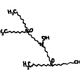 CCCCCCCCCCN(CCCCCCCCCC)C(=O)CCCCCCCN(CCCO)CCCCCCCC(=O)N(CCCCCCCCCC)CCCCCCCCCC